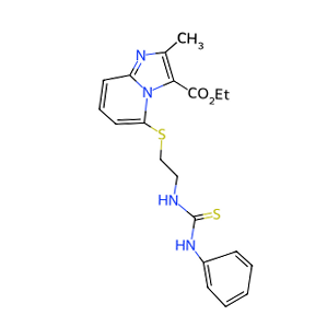 CCOC(=O)c1c(C)nc2cccc(SCCNC(=S)Nc3ccccc3)n12